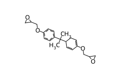 CC(C)(c1ccc(OCC2CO2)cc1)C1C=CC(OCC2CO2)=CC1